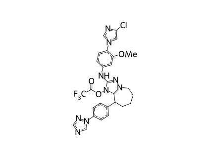 COc1cc(NC2=NN3CCCCC(c4ccc(-n5cncn5)cc4)C3N2OC(=O)C(F)(F)F)ccc1-n1cnc(Cl)c1